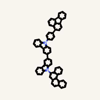 c1ccc2c(c1)-c1cccc3c(-c4ccc(-n5c6ccccc6c6cc(-c7ccc8c(c7)c7ccccc7n8-c7cc8ccc9ccccc9c8c8ccccc78)ccc65)cc4)ccc-2c13